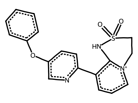 O=S1(=O)CC[n+]2cccc(-c3ccc(Oc4ccccc4)cn3)c2N1